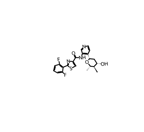 C[C@H]1[C@H](C)O[C@H](c2ccncc2NC(=O)c2csc(-c3c(F)cccc3F)n2)C[C@@H]1O